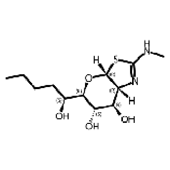 CCCC[C@H](O)[C@H]1O[C@@H]2SC(NC)=N[C@@H]2[C@@H](O)[C@@H]1O